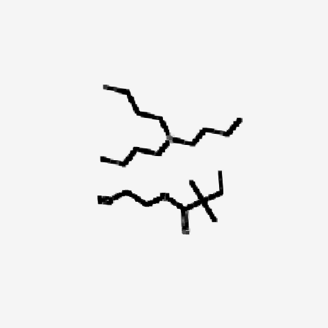 CCC(C)(C)C(=O)OCCO.CCCCN(CCCC)CCCC